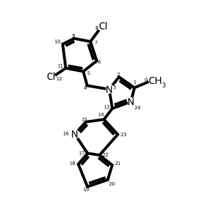 Cc1cn(Cc2cc(Cl)ccc2Cl)c(-c2cnc3ccccc3c2)n1